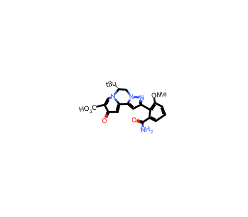 COc1cccc(C(N)=O)c1-c1cc2n(n1)C[C@@H](C(C)(C)C)n1cc(C(=O)O)c(=O)cc1-2